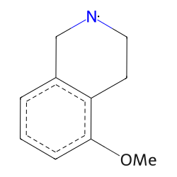 COc1cccc2c1CC[N]C2